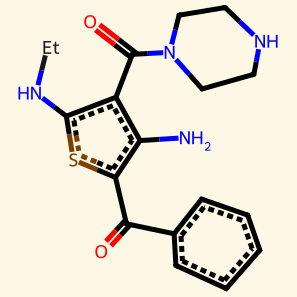 CCNc1sc(C(=O)c2ccccc2)c(N)c1C(=O)N1CCNCC1